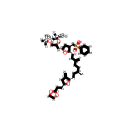 C=C(CC[C@@H](C)CC[C@@H]1O[C@@H](CCC2OCCO2)CC1=C)CC[C@@H]1O[C@H](CC(CO[Si](C)(C)C(C)(C)C)O[Si](C)(C)C(C)(C)C)C[C@H]1CS(=O)(=O)c1ccccc1